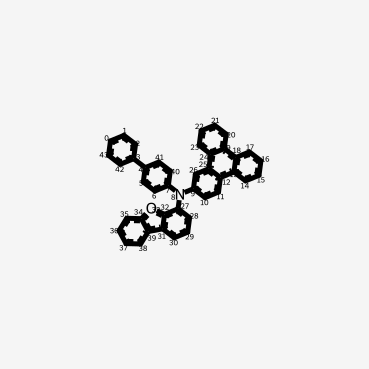 c1ccc(-c2ccc(N(c3ccc4c5ccccc5c5ccccc5c4c3)c3cccc4c3oc3ccccc34)cc2)cc1